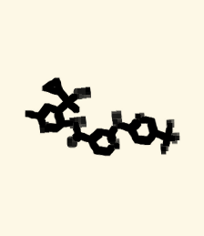 Cc1cc(C(C)(O)C2CC2)c(NC(=O)c2ccnc(Nc3ccc(C(F)(F)F)cn3)c2)cn1